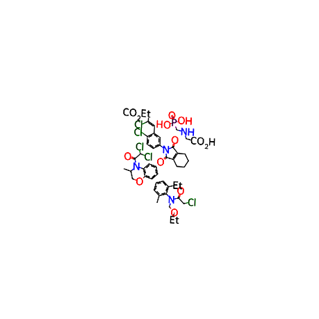 CC1COc2ccccc2N1C(=O)C(Cl)Cl.CCOC(=O)/C(Cl)=C/c1cc(N2C(=O)C3=C(CCCC3)C2=O)ccc1Cl.CCOCN(C(=O)CCl)c1c(C)cccc1CC.O=C(O)CNCP(=O)(O)O